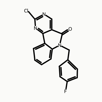 O=c1c2cnc(Cl)nc2c2ccccc2n1Cc1ccc(F)cc1